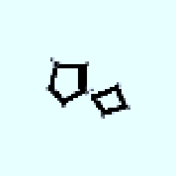 C1=CSCC1.C1CSC1